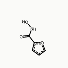 O=C(NO)c1ccco1